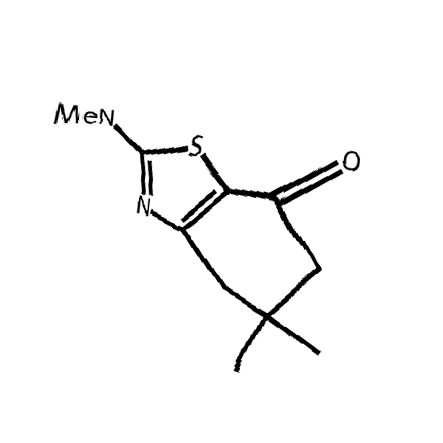 CNc1nc2c(s1)C(=O)CC(C)(C)C2